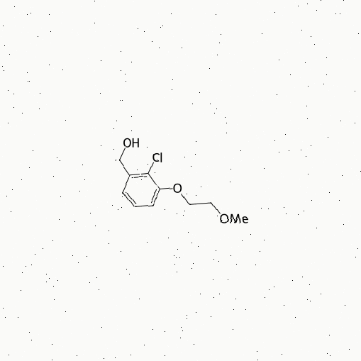 COCCOc1cccc([CH]O)c1Cl